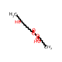 CCCCCCC(O)CCCCCCCCCCC(=O)OCCOC(=O)CC(O)CCCCCC